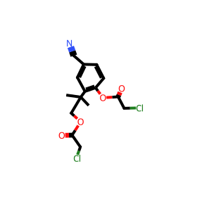 CC(C)(COC(=O)CCl)c1cc(C#N)ccc1OC(=O)CCl